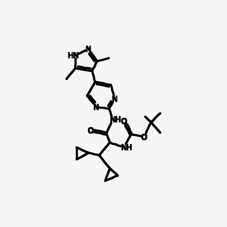 Cc1n[nH]c(C)c1-c1cnc(NC(=O)C(NC(=O)OC(C)(C)C)C(C2CC2)C2CC2)nc1